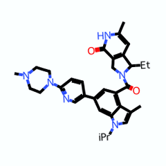 CCC1c2cc(C)[nH]c(=O)c2CN1C(=O)c1cc(-c2ccc(N3CCN(C)CC3)nc2)cc2c1c(C)cn2C(C)C